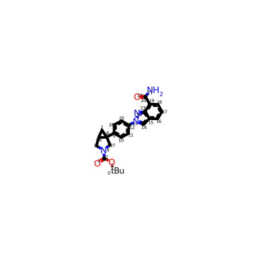 CC(C)(C)OC(=O)N1CC2CC2(c2ccc(-n3cc4cccc(C(N)=O)c4n3)cc2)C1